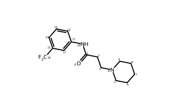 O=C(CCN1CCCCC1)Nc1[c]ccc(C(F)(F)F)c1